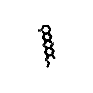 CC/N=c1/cc2oc3cc4c(cc3nc-2cc1C)CCCN4